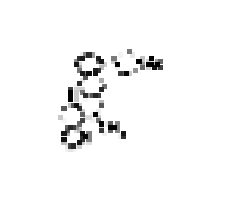 CC(=O)N1CCN(c2cccc3c2C[C@H](CN(C)[C@H]2CCCc4cccnc42)NC3)CC1